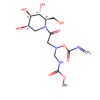 C=NC(=O)ON(CNC(=O)OC(C)(C)C)CC(=O)N1C[C@@H](O)[C@@H](O)[C@H](O)[C@H]1CO